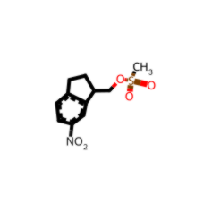 CS(=O)(=O)OCC1CCc2ccc([N+](=O)[O-])cc21